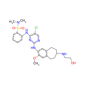 COc1cc2c(cc1Nc1ncc(Cl)c(Nc3ccccc3S(=O)(=O)N(C)C)n1)CCC(NCCO)CC2